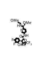 COCCN[C@@H](COC)c1ccc(NC(=O)[C@@H]2O[C@@](C)(C(F)(F)F)[C@@H](C)[C@H]2c2ccc(F)c(F)c2OC)cn1